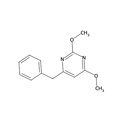 COc1cc(Cc2ccccc2)nc(OC)n1